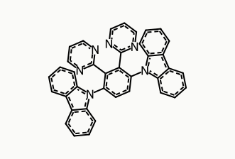 c1cnc(-c2c(-n3c4ccccc4c4ccccc43)ccc(-n3c4ccccc4c4ccccc43)c2-c2ncccn2)nc1